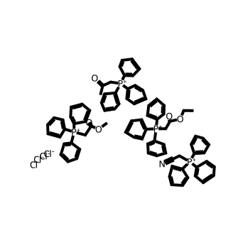 CC(=O)C[P+](c1ccccc1)(c1ccccc1)c1ccccc1.CCOC(=O)C[P+](c1ccccc1)(c1ccccc1)c1ccccc1.COC(=O)C[P+](c1ccccc1)(c1ccccc1)c1ccccc1.N#CC[P+](c1ccccc1)(c1ccccc1)c1ccccc1.[Cl-].[Cl-].[Cl-].[Cl-]